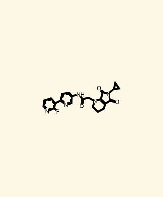 O=C(CN1CCCC2=C1C(=O)N(C1CC1)C2=O)Nc1ccc(-c2cccnc2F)nc1